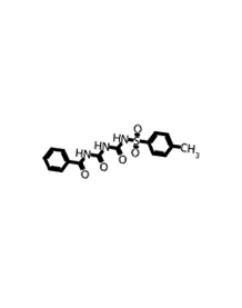 Cc1ccc(S(=O)(=O)NC(=O)NC(=O)NC(=O)c2ccccc2)cc1